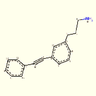 NCCCc1cccc(C#Cc2ccccc2)c1